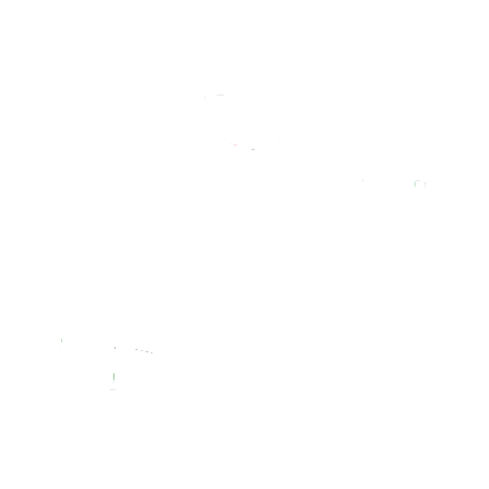 COc1ccc(Br)cc1C=CC1CCC(F)(F)CC1